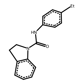 CCc1ccc(NC(=O)N2CCc3ccccc32)cc1